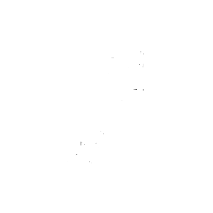 CC(C)(C1CCN(C(=O)NC2(C#N)CC2)CC1)[C@H](O)c1cc(Cl)cc2cn[nH]c12